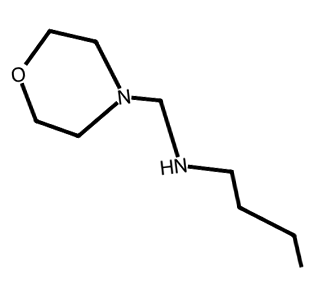 CCCCNCN1CCOCC1